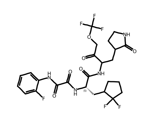 O=C(Nc1ccccc1F)C(=O)N[C@@H](CC1CCCC1(F)F)C(=O)NC(CC1CCNC1=O)C(=O)COC(F)(F)F